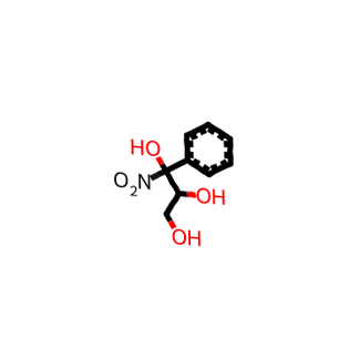 O=[N+]([O-])C(O)(c1ccccc1)C(O)CO